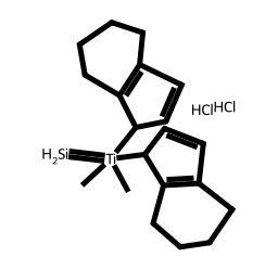 Cl.Cl.[CH3][Ti]([CH3])(=[SiH2])([CH]1C=CC2=C1CCCC2)[CH]1C=CC2=C1CCCC2